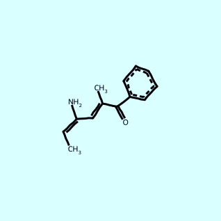 C/C=C(N)\C=C(/C)C(=O)c1ccccc1